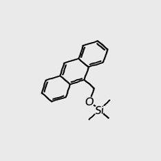 C[Si](C)(C)OCc1c2ccccc2cc2ccccc12